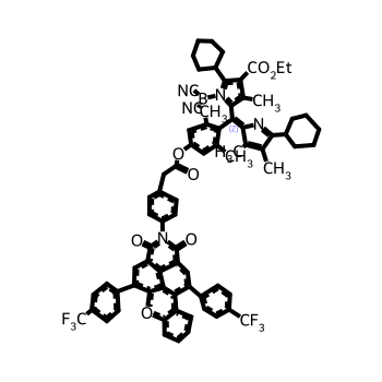 CCOC(=O)c1c(C)c(/C(=C2\N=C(C3CCCCC3)C(C)=C2C)c2c(C)cc(OC(=O)Cc3ccc(-n4c(=O)c5cc(-c6ccc(C(F)(F)F)cc6)c6oc7ccccc7c7c(-c8ccc(C(F)(F)F)cc8)cc(c4=O)c5c67)cc3)cc2C)n(B(C#N)C#N)c1C1CCCCC1